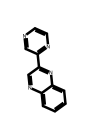 [c]1nccnc1-c1cnc2ccccc2n1